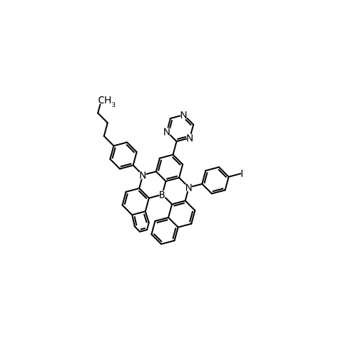 CCCCc1ccc(N2c3cc(-c4ncncn4)cc4c3B(c3c(ccc5ccccc35)N4c3ccc(I)cc3)c3c2ccc2ccccc32)cc1